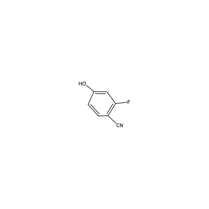 N#Cc1ccc(O)[c]c1F